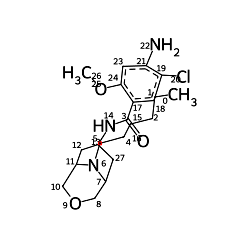 CCCCCCN1C2COCC1CC(NC(=O)c1cc(Cl)c(N)cc1OC)C2